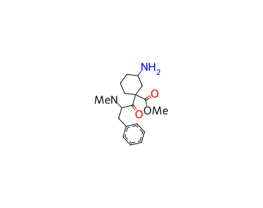 CNC(Cc1ccccc1)C(=O)C1(C(=O)OC)CCCC(N)C1